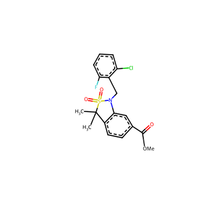 COC(=O)c1ccc2c(c1)N(Cc1c(F)cccc1Cl)S(=O)(=O)C2(C)C